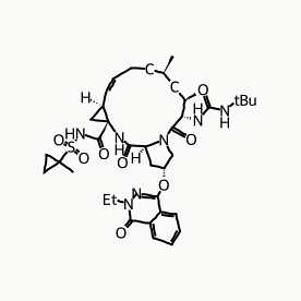 CCn1nc(O[C@@H]2C[C@H]3C(=O)N[C@]4(C(=O)NS(=O)(=O)C5(C)CC5)C[C@H]4/C=C\CC[C@@H](C)C[C@@H](C)[C@H](NC(=O)NC(C)(C)C)C(=O)N3C2)c2ccccc2c1=O